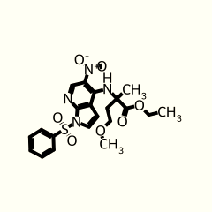 CCOC(=O)C(C)(CCOC)Nc1c([N+](=O)[O-])cnc2c1ccn2S(=O)(=O)c1ccccc1